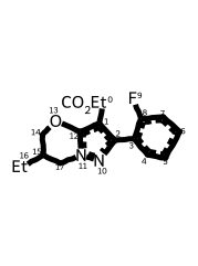 CCOC(=O)c1c(-c2ccccc2F)nn2c1OCC(CC)C2